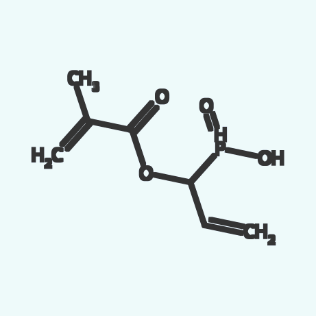 C=CC(OC(=O)C(=C)C)[PH](=O)O